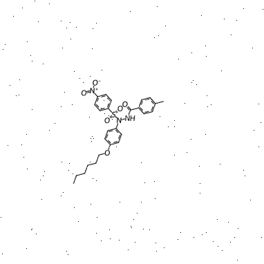 CCCCCCOc1ccc(N(NC(=O)c2ccc(C)cc2)S(=O)(=O)c2ccc([N+](=O)[O-])cc2)cc1